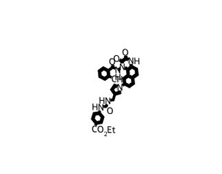 CCOC(=O)c1ccc(NC(=O)NCc2ccn(-c3ccc4ccc5[nH]c(=O)c(=O)n(NC(=O)c6ccccc6C)c5c4c3)c2)cc1